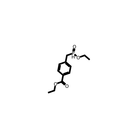 CCOC(=O)c1ccc(C[PH](=O)OCC)cc1